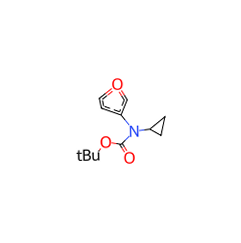 CC(C)(C)OC(=O)N(c1ccoc1)C1CC1